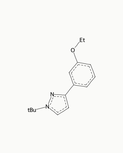 CCOc1cccc(-c2ccn(C(C)(C)C)n2)c1